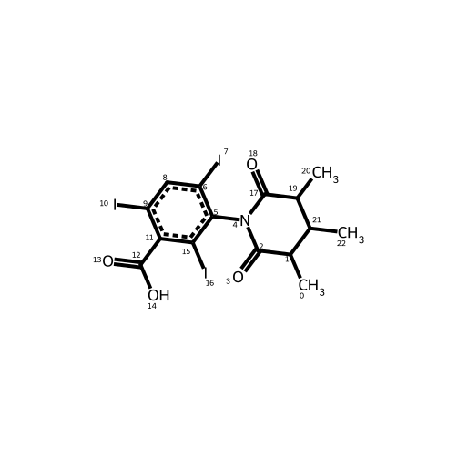 CC1C(=O)N(c2c(I)cc(I)c(C(=O)O)c2I)C(=O)C(C)C1C